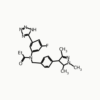 CCC(=O)N(Cc1ccc(C2C(C)=NN(C)C2C)cc1)c1cc(F)cc(-c2nnn[nH]2)c1